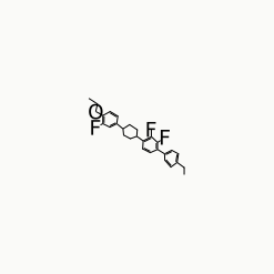 CCOc1ccc(C2CCC(c3ccc(-c4ccc(CC)cc4)c(F)c3F)CC2)cc1F